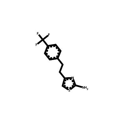 Nc1nc(CCc2ccc(C(F)(F)F)cc2)cs1